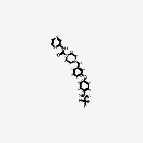 O=C(Nc1cnccn1)N1CCN(Cc2cccc(Oc3ccc(S(=O)(=O)C(F)(F)F)cc3)c2)CC1